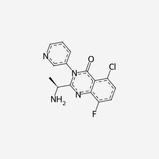 C[C@H](N)c1nc2c(F)ccc(Cl)c2c(=O)n1-c1cccnc1